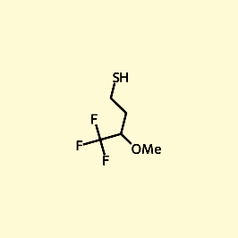 COC(CCS)C(F)(F)F